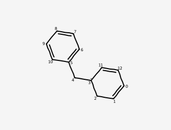 C1=CC[C](Cc2ccccc2)C=C1